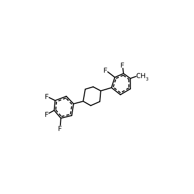 Cc1ccc(C2CCC(c3cc(F)c(F)c(F)c3)CC2)c(F)c1F